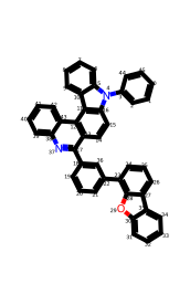 c1ccc(-n2c3ccccc3c3c4c(ccc32)c(-c2cccc(-c3cccc5c3oc3ccccc35)c2)nc2ccccc24)cc1